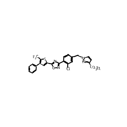 CCOC(=O)c1ccn(Cc2ccc(-c3noc(-c4cc(-c5ccccc5)c(C(F)(F)F)s4)n3)c(Cl)c2)n1